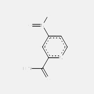 NC(=O)c1cc([N+](=O)[O-])ccn1